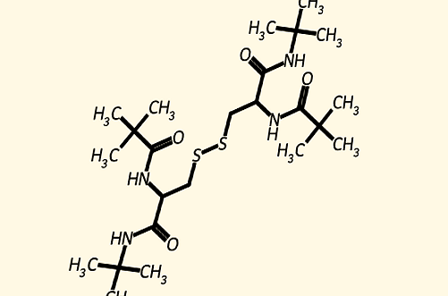 CC(C)(C)NC(=O)C(CSSCC(NC(=O)C(C)(C)C)C(=O)NC(C)(C)C)NC(=O)C(C)(C)C